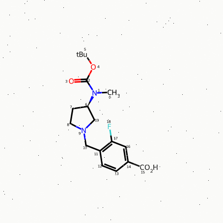 CN(C(=O)OC(C)(C)C)[C@@H]1CCN(Cc2ccc(C(=O)O)cc2F)C1